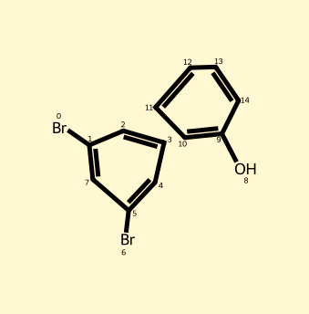 Brc1cccc(Br)c1.Oc1ccccc1